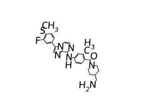 CSc1ccc(-c2cnc3c(Nc4ccc(C(=O)N5CCC(CN)CC5)c(C)c4)nccn23)cc1F